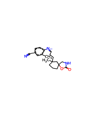 Cc1cc(C#N)ccc1/N=C\CCC1(C)CCCC2(CNC(=O)O2)C1